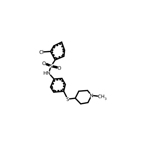 CN1CCC(Sc2ccc(NS(=O)(=O)c3ccccc3Cl)cc2)CC1